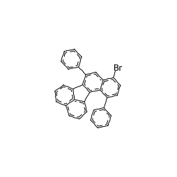 Brc1ccc(-c2ccccc2)c2c3c(c(-c4ccccc4)cc12)-c1cccc2cccc-3c12